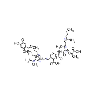 CCC/C=C/[N+](=C\C(NCCNC(=O)c1cc(=O)c(O)cn1O)=C(/C)N)C/C=C/C1=C(C(=O)O)N2C(=O)[C@@H](NC(=O)C(=N\O[C@@H](C)C(=O)O)/C(C)=C/S/C(N)=C/CCC)C2SC1